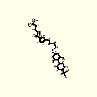 Cc1cc(SCC(C)CCc2ccc(C(=O)NCCC(=O)O)s2)cc(C)c1-c1ccc(C(C)(C)C)cc1